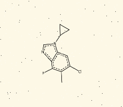 Cc1c(Cl)cc2c(ncn2C2CC2)c1F